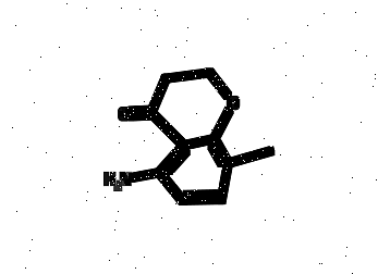 Cc1ccc(N)c2c1OCCC2=O